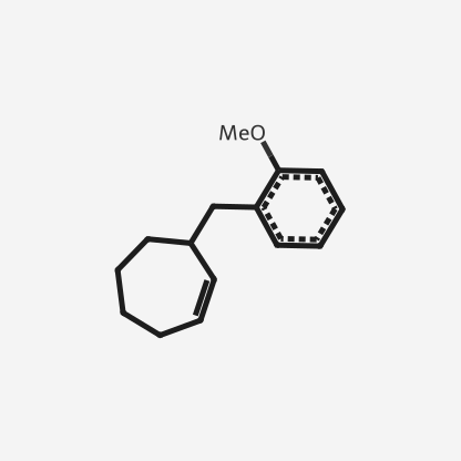 COc1ccccc1CC1C=CCCCC1